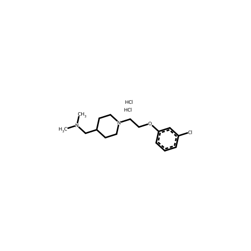 CN(C)CC1CCN(CCOc2cccc(Cl)c2)CC1.Cl.Cl